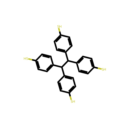 Sc1ccc(C(c2ccc(S)cc2)C(c2ccc(S)cc2)c2ccc(S)cc2)cc1